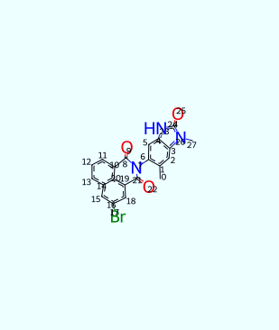 Cc1cc2c(cc1N1C(=O)c3cccc4cc(Br)cc(c34)C1=O)[nH]c(=O)n2C